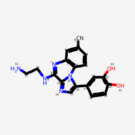 N#Cc1ccc2c(c1)nc(NCCN)c1ncc(-c3ccc(O)c(O)c3)n12